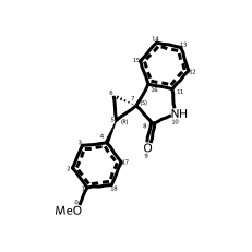 COc1ccc([C@H]2C[C@]23C(=O)Nc2ccccc23)cc1